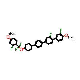 CCCCOc1ccc(C(F)(F)OC2CCC(c3ccc(-c4ccc(-c5ccc(OC(F)(F)F)c(F)c5)c(F)c4)cc3)CC2)c(F)c1